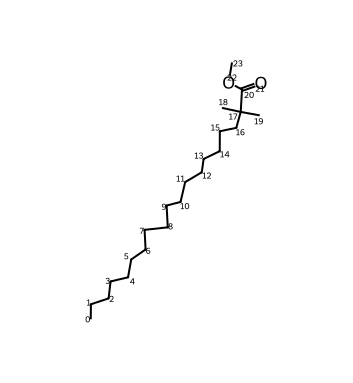 CCCCCCCCCCCCCCCCCC(C)(C)C(=O)OC